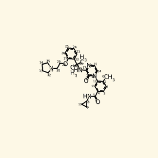 Cc1ccc(C(=O)NC2CC2)cc1-n1ccnc(NC(C)(C)c2ccccc2OCCN2CCCC2)c1=O